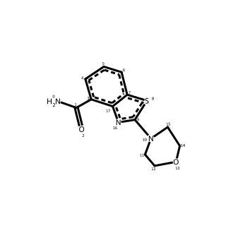 NC(=O)c1[c]ccc2sc(N3CCOCC3)nc12